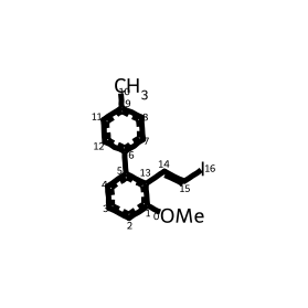 COc1cccc(-c2ccc(C)cc2)c1C=CI